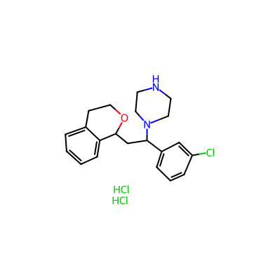 Cl.Cl.Clc1cccc(C(CC2OCCc3ccccc32)N2CCNCC2)c1